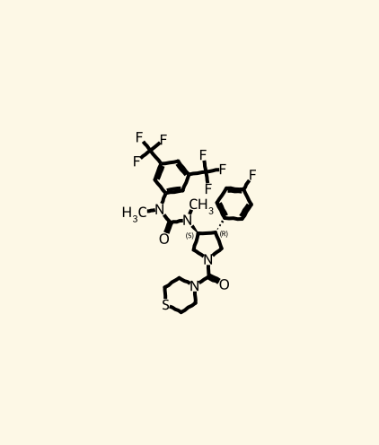 CN(C(=O)N(C)[C@@H]1CN(C(=O)N2CCSCC2)C[C@H]1c1ccc(F)cc1)c1cc(C(F)(F)F)cc(C(F)(F)F)c1